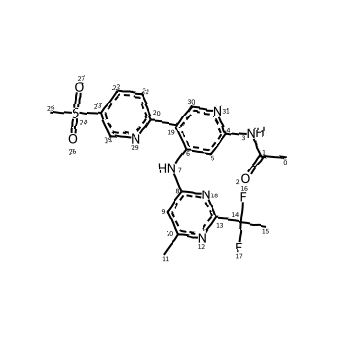 CC(=O)Nc1cc(Nc2cc(C)nc(C(C)(F)F)n2)c(-c2ccc(S(C)(=O)=O)cn2)cn1